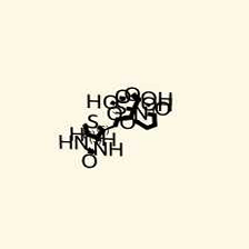 O=C1N[C@H]2[C@H](CS[C@H]2CCCC(C(=O)O)([N+]2(O)C(=O)CCC2=O)S(=O)(=O)O)N1